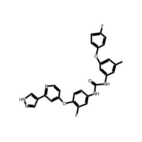 Cc1cc(NC(=O)Nc2ccc(Oc3ccnc(-c4cn[nH]c4)c3)c(F)c2)cc(Oc2ccc(F)cc2)c1